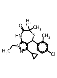 CCn1nc(C2CC2)c2c1NC(=O)C(C)(C)SC2c1ccc(Cl)cc1C